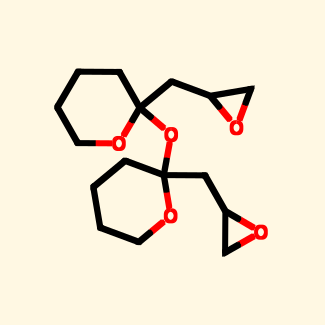 C1CCC(CC2CO2)(OC2(CC3CO3)CCCCO2)OC1